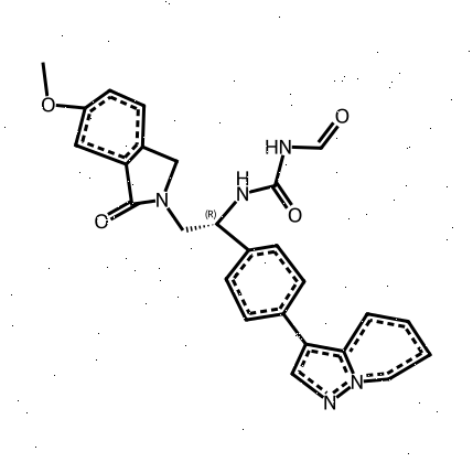 COc1ccc2c(c1)C(=O)N(C[C@H](NC(=O)NC=O)c1ccc(-c3cnn4ccccc34)cc1)C2